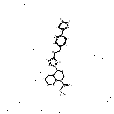 CC(C)(C)OC(=O)N1CCC(n2ncc(COc3ccc(-n4cnnn4)nc3)n2)C2CCCCC21